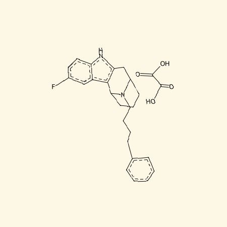 Fc1ccc2[nH]c3c(c2c1)C1CCCC(C3)N1CCCCc1ccccc1.O=C(O)C(=O)O